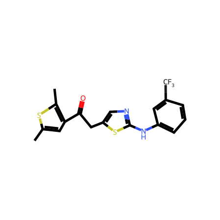 Cc1cc(C(=O)Cc2cnc(Nc3cccc(C(F)(F)F)c3)s2)c(C)s1